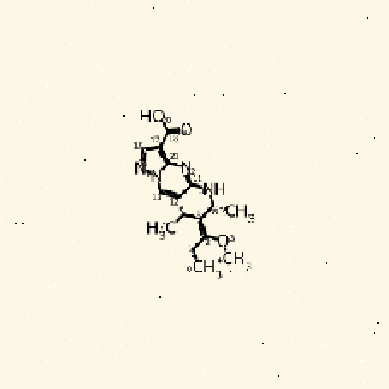 CC/C(OC)=C(\CC)[C@@H](C)Nc1ccn2ncc(C(=O)O)c2n1